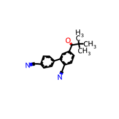 CC(C)(C)C(=O)c1ccc(C#N)c(-c2ccc(C#N)cc2)c1